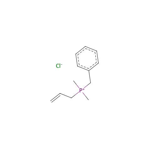 C=CC[P+](C)(C)Cc1ccccc1.[Cl-]